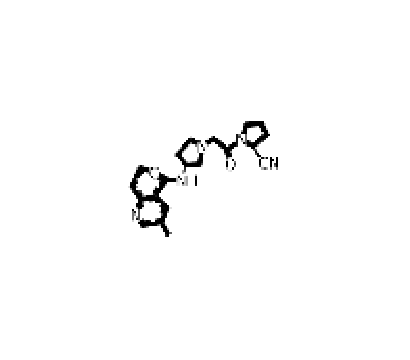 Cc1cnc2cccc(N[C@@H]3CCN(CC(=O)N4CCC[C@H]4C#N)C3)c2c1